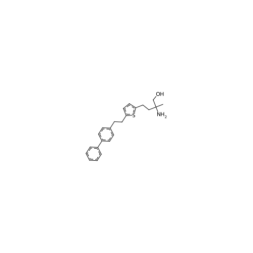 CC(N)(CO)CCc1ccc(CCc2ccc(-c3ccccc3)cc2)s1